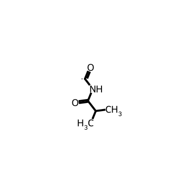 CC(C)C(=O)N[C]=O